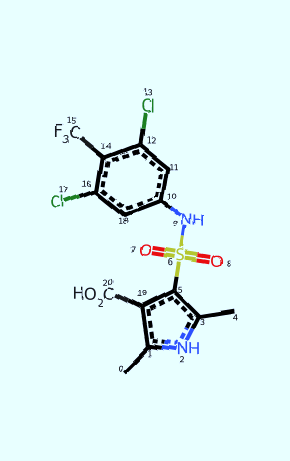 Cc1[nH]c(C)c(S(=O)(=O)Nc2cc(Cl)c(C(F)(F)F)c(Cl)c2)c1C(=O)O